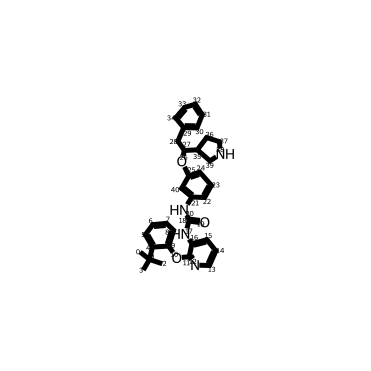 CC(C)(C)c1ccccc1Oc1ncccc1NC(=O)Nc1cccc(OC(Cc2ccccc2)C2CCNC2)c1